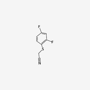 N#CCSc1ccc(F)cc1F